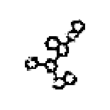 c1cncc(-c2cc(-c3cccc4ccncc34)cc(-c3ccc(-c4nc5ccccc5o4)c4ccccc34)c2)c1